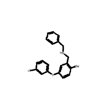 Sc1ccc(Oc2cccc(Cl)c2)cc1CNCc1ccccc1